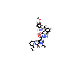 CCCC1CCCCN1C(=O)c1cc(C(=O)N[C@@H](Cc2ccccc2)[C@H](O)CN[C@@H](CC)c2cccc(OC)c2)nn1CC